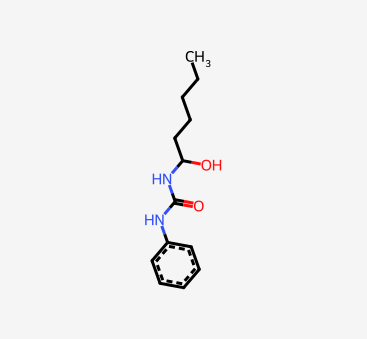 CCCCCC(O)NC(=O)Nc1ccccc1